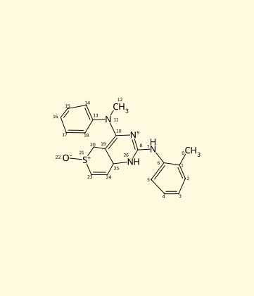 Cc1ccccc1NC1=NC(N(C)c2ccccc2)=C2C[S+]([O-])C=CC2N1